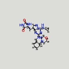 O=C1NC(=O)/C(=C/c2cnn3c(NC4CC4)nc(NCc4ccccc4N4CCOCC4)nc23)N1